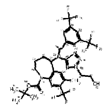 Cc1cc2c(cc1C(F)(F)F)N(C(=O)OC(C)(C)C)CCCC2N(Cc1cc(C(F)(F)F)cc(C(F)(F)F)c1)c1nnn(CCO)n1